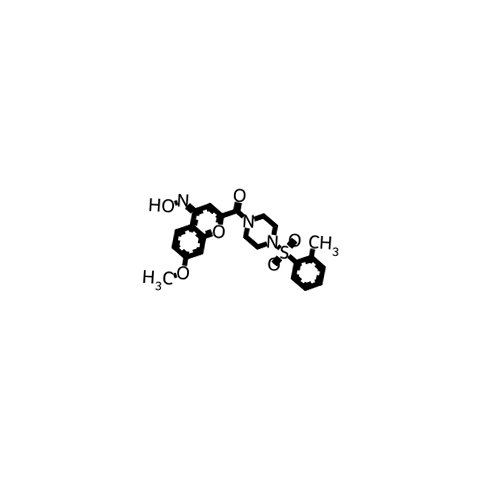 COc1ccc2/c(=N\O)cc(C(=O)N3CCN(S(=O)(=O)c4ccccc4C)CC3)oc2c1